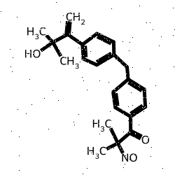 C=C(c1ccc(Cc2ccc(C(=O)C(C)(C)N=O)cc2)cc1)C(C)(C)O